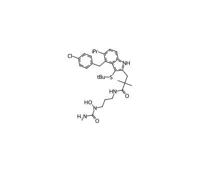 CC(C)c1ccc2[nH]c(CC(C)(C)C(=O)NCCCN(O)C(N)=O)c(SC(C)(C)C)c2c1Cc1ccc(Cl)cc1